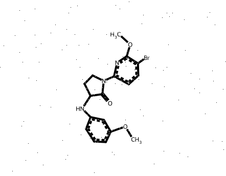 COc1cccc(NC2CCN(c3ccc(Br)c(OC)n3)C2=O)c1